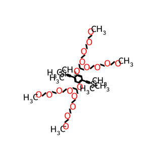 COCCOCCOCCOCC(COCCOCCOCCOC)Oc1cc(C#C[Si](C)(C)C)c(OC(COCCOCCOCCOC)COCCOCCOCCOC)cc1C#C[Si](C)(C)C